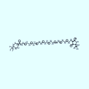 CC(C)(C)C1CCN(C(=O)CCOCCOCCOCCOCCOCCOCCOCCOCCC2C(=O)CC(C(C)(C)C)C2=O)CC1